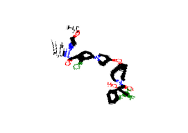 COCCN(C)C(=O)c1ccc(N2CCC(OC3CCN(C(=O)[C@](O)(c4ccccc4)C(F)(F)F)CC3)CC2)cc1Cl